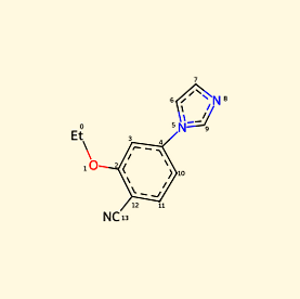 CCOc1cc(-n2ccnc2)ccc1C#N